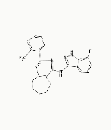 Fc1cccc2c(Nc3nc(-c4ccccc4C(F)(F)F)nc4c3CCCCC4)n[nH]c12